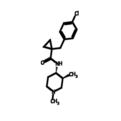 C[C@H]1CN(C)CC[C@@H]1NC(=O)C1(Cc2ccc(Cl)cc2)CC1